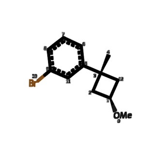 CO[C@H]1C[C@](C)(c2cccc(Br)c2)C1